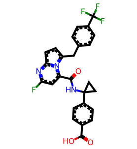 O=C(O)c1ccc(C2(NC(=O)c3cc(F)nc4ccc(Cc5ccc(C(F)(F)F)cc5)n34)CC2)cc1